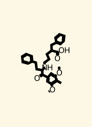 COc1cc(C(=O)C(CCc2ccccc2)NCCCC(Cc2ccccc2)C(=O)O)cc(OC)c1C